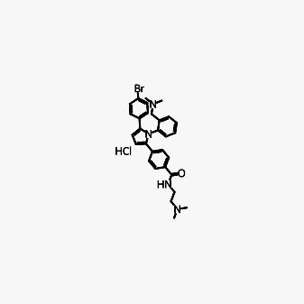 CN(C)CCNC(=O)c1ccc(-c2ccc(-c3ccc(Br)cc3)n2-c2ccccc2CN(C)C)cc1.Cl